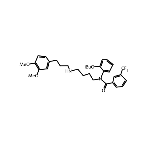 COc1ccc(CCCNCCCCN(C(=O)c2cccc(C(F)(F)F)c2)c2ccccc2OCC(C)C)cc1OC